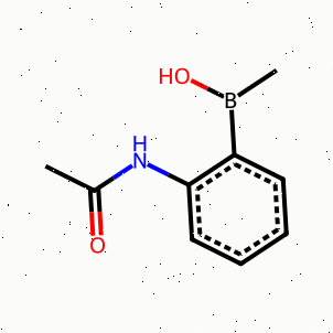 CB(O)c1ccccc1NC(C)=O